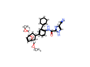 COC[C@@]12C=C[C@@](COC)(CC(c3ccc(NC(=O)c4nc(C#N)c[nH]4)c(C4=CCCCC4)c3)C1)O2